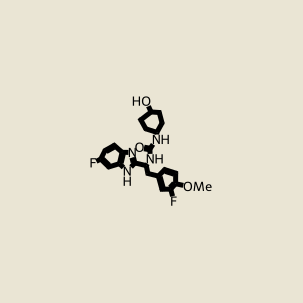 COc1ccc(CC(NC(=O)NC2CCC(O)CC2)c2nc3ccc(F)cc3[nH]2)cc1F